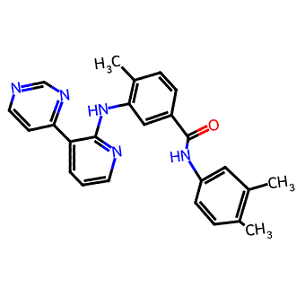 Cc1ccc(NC(=O)c2ccc(C)c(Nc3ncccc3-c3ccncn3)c2)cc1C